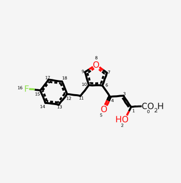 O=C(O)/C(O)=C/C(=O)c1cocc1Cc1ccc(F)cc1